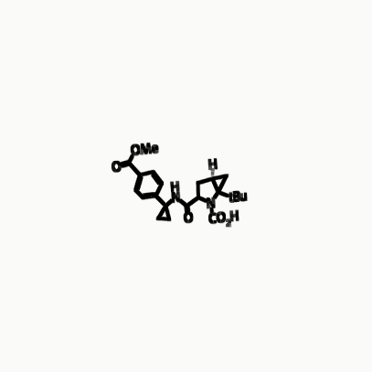 COC(=O)c1ccc(C2(NC(=O)C3C[C@H]4CC4(C(C)(C)C)N3C(=O)O)CC2)cc1